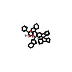 CC(C)c1ccc2c(c1-c1cc3c(cc1N(c1ccc(-c4ccccc4)cc1)c1ccc4c(c1)CCCC4)C1(c4ccccc4-c4ccccc41)c1ccccc1-3)CCCC2